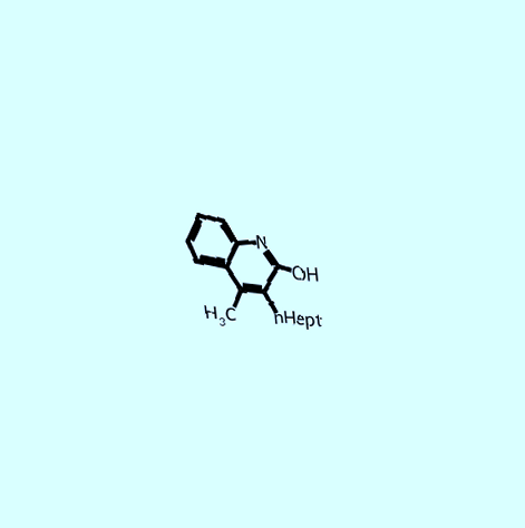 CCCCCCCc1c(O)nc2ccccc2c1C